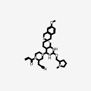 C=CC(=O)N1CCN(C2NC(OCC3CCCN3C)NC3C[C@@]4(CCC32)Cc2ccc(OC)cc2CS4)CC1CC#N